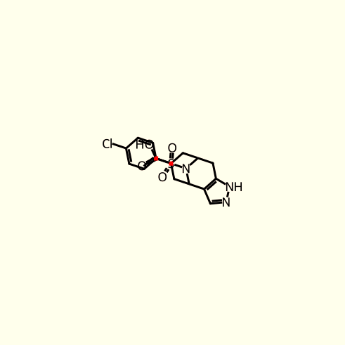 O=C(O)C1CC2Cc3[nH]ncc3C(C1)N2S(=O)(=O)c1ccc(Cl)cc1